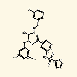 CCc1cccc(CNC[C@H](O)[C@H](Cc2cc(F)cc(F)c2)NC(=O)c2cccc(NS(=O)(=O)c3cccs3)c2)c1